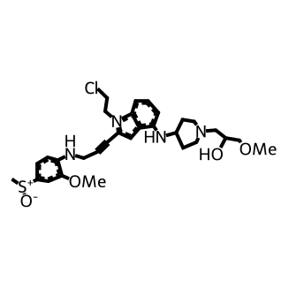 COCC(O)CN1CCC(Nc2cccc3c2cc(C#CCNc2ccc([S+](C)[O-])cc2OC)n3CCCl)CC1